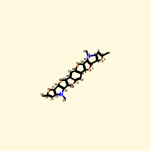 Cc1cc2c(s1)c1sc3c4cc5sc6c(sc7c8sc(C)cc8n(C)c67)c5cc4sc3c1n2C